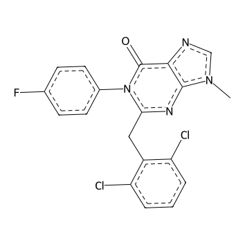 Cn1cnc2c(=O)n(-c3ccc(F)cc3)c(Cc3c(Cl)cccc3Cl)nc21